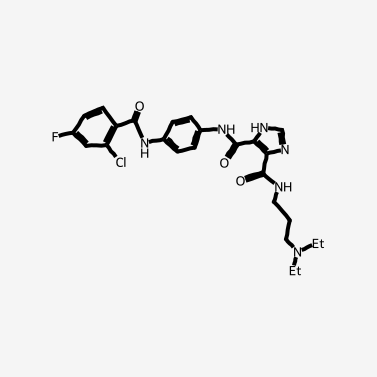 CCN(CC)CCCNC(=O)c1nc[nH]c1C(=O)Nc1ccc(NC(=O)c2ccc(F)cc2Cl)cc1